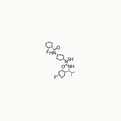 CC(C)C(NC(=O)N(S)c1ccc(NC(=O)c2ccccc2F)cc1)c1ccc(F)cc1